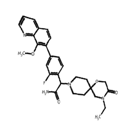 CCN1CC2(CCN(C(C(N)=O)c3ccc(-c4ccc5cccnc5c4OC)cc3F)CC2)OCC1=O